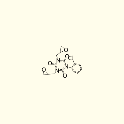 O=c1n(CC2CO2)c(=O)n(-c2ccccc2Cl)c(=O)n1CC1CO1